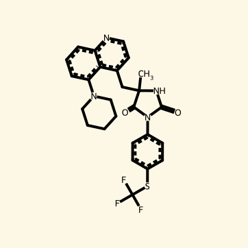 CC1(Cc2ccnc3cccc(N4CCCCC4)c23)NC(=O)N(c2ccc(SC(F)(F)F)cc2)C1=O